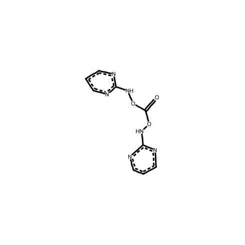 O=C(ONc1ncccn1)ONc1ncccn1